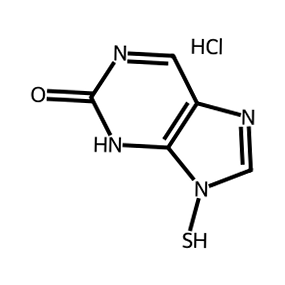 Cl.O=c1ncc2ncn(S)c2[nH]1